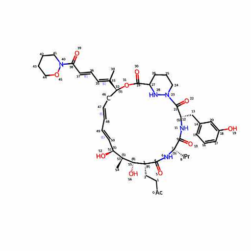 CC(=O)CC[C@H]1C(=O)N[C@@H](C(C)C)C(=O)N[C@@H](Cc2cccc(O)c2)C(=O)N2CCCC(N2)C(=O)O[C@H](/C(C)=C/C=C/C(=O)N2CCCCO2)C/C=C/C=C/[C@H](O)[C@H](C)[C@H]1O